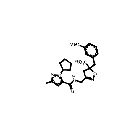 CCOC(=O)C1(Cc2cccc(OC)c2)CC(CNC(=O)c2cc(C)nn2C2CCCC2)=NO1